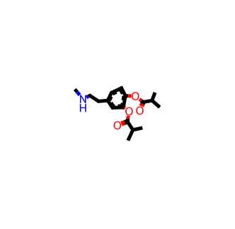 CNCCc1ccc(OC(=O)C(C)C)c(OC(=O)C(C)C)c1